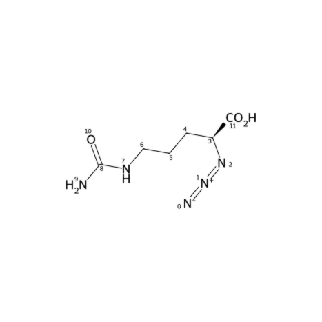 [N-]=[N+]=N[C@@H](CCCNC(N)=O)C(=O)O